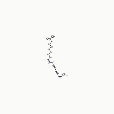 C/C=C\C#CC#CC/C=C\CCCCCCCC(=O)O